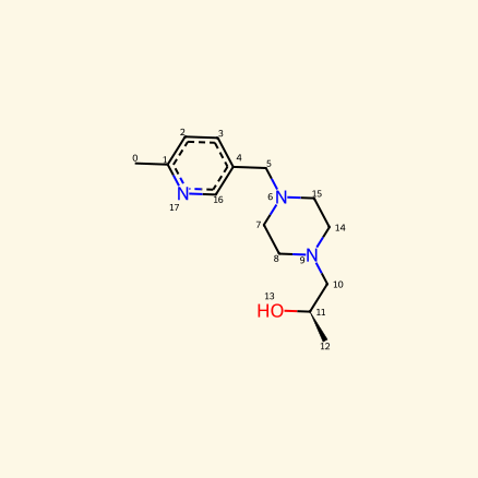 Cc1ccc(CN2CCN(C[C@@H](C)O)CC2)cn1